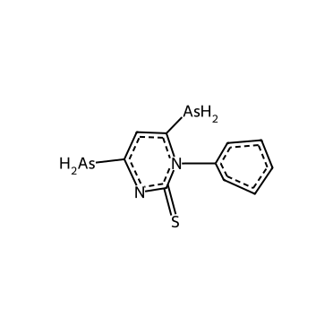 S=c1nc([AsH2])cc([AsH2])n1-c1ccccc1